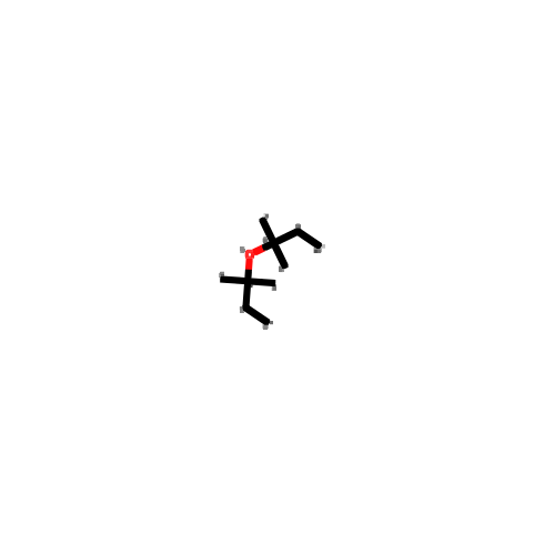 [CH2]CC(C)(C)OC(C)(C)C[CH2]